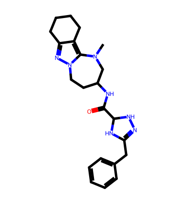 CN1CC(NC(=O)C2NN=C(Cc3ccccc3)N2)CCn2nc3c(c21)CCCC3